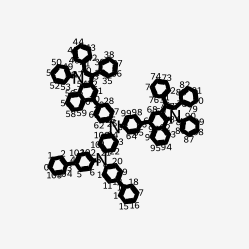 c1ccc(-c2ccc(N(c3ccc(-c4ccccc4)cc3)c3ccc(N(c4ccc(-c5cc6c(-c7ccccc7)c(-c7ccccc7)n(-c7ccccc7)c6c6ccccc56)cc4)c4ccc(-c5cc6c(-c7ccccc7)c(-c7ccccc7)n(-c7ccccc7)c6c6ccccc56)cc4)cc3)cc2)cc1